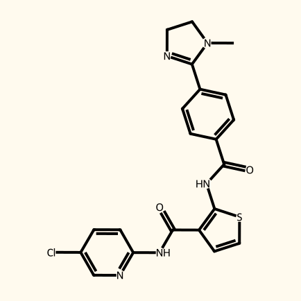 CN1CCN=C1c1ccc(C(=O)Nc2sccc2C(=O)Nc2ccc(Cl)cn2)cc1